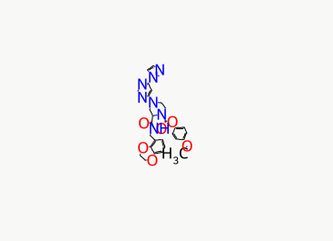 COc1ccc(OC(=O)N2CCN(c3cc(-n4ccnc4)ncn3)CC2C(=O)NCc2cccc3c2OCCO3)cc1